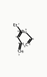 [CH2]CCCC=C.[CH]=CC=CCC